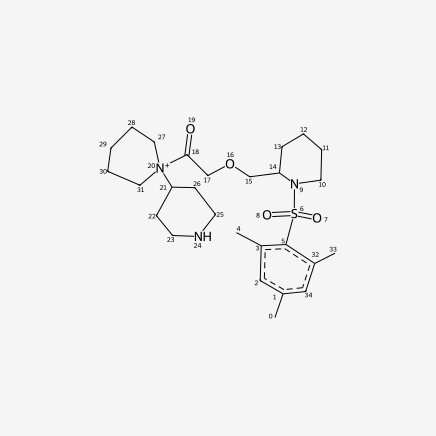 Cc1cc(C)c(S(=O)(=O)N2CCCCC2COCC(=O)[N+]2(C3CCNCC3)CCCCC2)c(C)c1